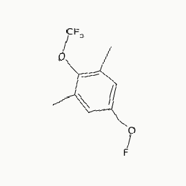 Cc1cc(OF)cc(C)c1OC(F)(F)F